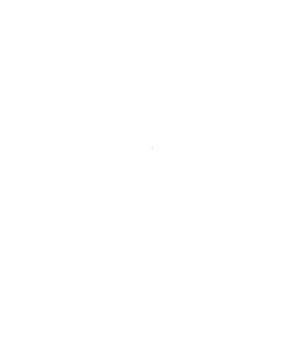 CC(=O)n1c2ccccc2c2cc(I)ccc21